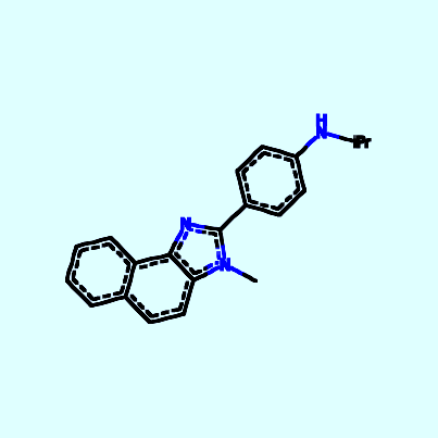 CC(C)Nc1ccc(-c2nc3c4ccccc4ccc3n2C)cc1